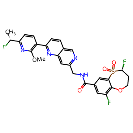 COc1nc([C@@H](C)F)ccc1-c1ccc2cnc(CNC(=O)c3cc(F)c4c(c3)S(=O)(=O)[C@@H](F)CCO4)cc2n1